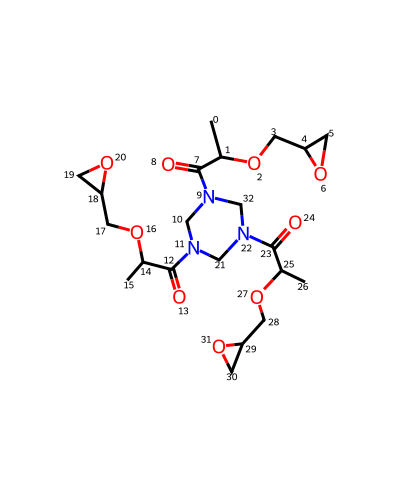 CC(OCC1CO1)C(=O)N1CN(C(=O)C(C)OCC2CO2)CN(C(=O)C(C)OCC2CO2)C1